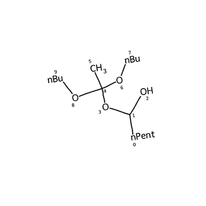 CCCCCC(O)OC(C)(OCCCC)OCCCC